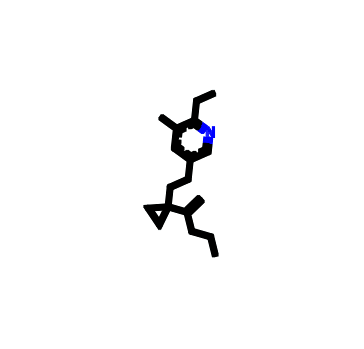 C=C(CCC)C1(CCc2cnc(CC)c(C)c2)CC1